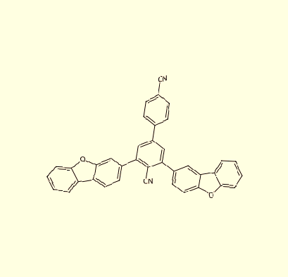 N#Cc1ccc(-c2cc(-c3ccc4c(c3)oc3ccccc34)c(C#N)c(-c3ccc4oc5ccccc5c4c3)c2)cc1